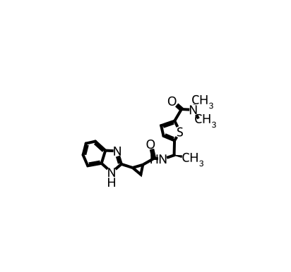 C[C@@H](NC(=O)C1CC1c1nc2ccccc2[nH]1)c1ccc(C(=O)N(C)C)s1